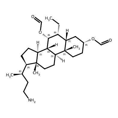 CC[C@H]1[C@@H](OC=O)[C@@H]2[C@H](CC[C@]3(C)[C@@H]([C@H](C)CCN)CC[C@@H]23)[C@@]2(C)CC[C@@H](OC=O)C[C@@H]12